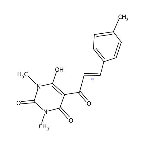 Cc1ccc(/C=C/C(=O)c2c(O)n(C)c(=O)n(C)c2=O)cc1